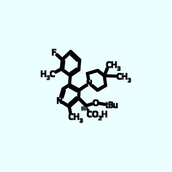 Cc1ncc(-c2cccc(F)c2C)c(N2CCC(C)(C)CC2)c1[C@H](OC(C)(C)C)C(=O)O